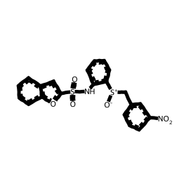 O=[N+]([O-])c1cccc(C[S+]([O-])c2ccccc2NS(=O)(=O)c2cc3ccccc3o2)c1